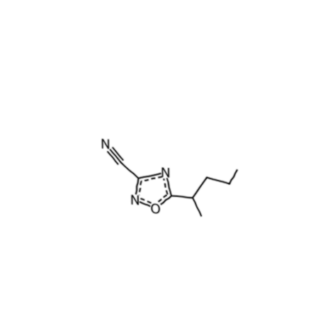 CCCC(C)c1nc(C#N)no1